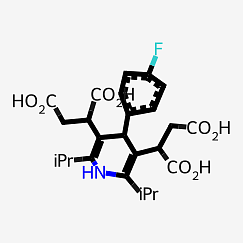 CC(C)C1=C(C(CC(=O)O)C(=O)O)C(c2ccc(F)cc2)C(C(CC(=O)O)C(=O)O)=C(C(C)C)N1